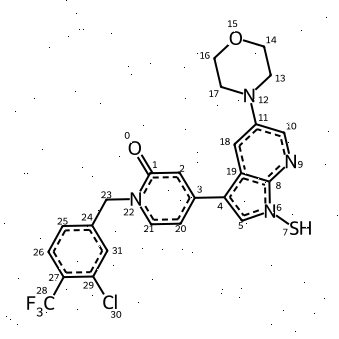 O=c1cc(-c2cn(S)c3ncc(N4CCOCC4)cc23)ccn1Cc1ccc(C(F)(F)F)c(Cl)c1